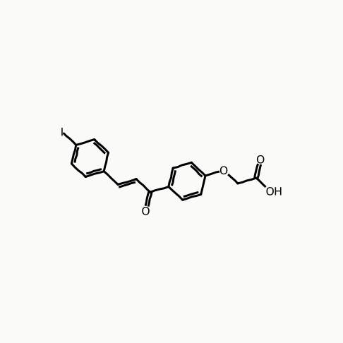 O=C(O)COc1ccc(C(=O)/C=C/c2ccc(I)cc2)cc1